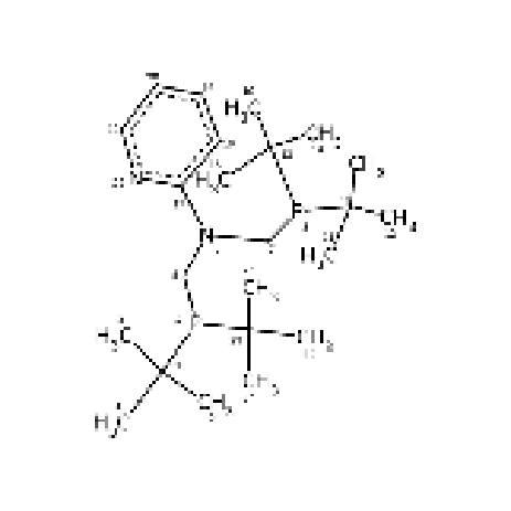 CC(C)(C)P(CN(CP(C(C)(C)C)C(C)(C)C)c1ccccn1)C(C)(C)C